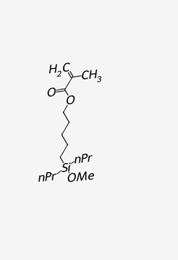 C=C(C)C(=O)OCCCCC[Si](CCC)(CCC)OC